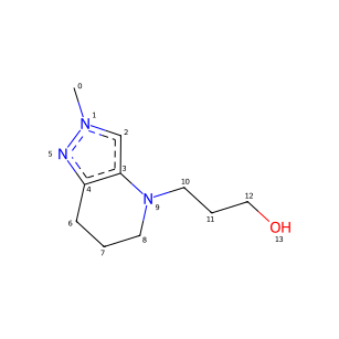 Cn1cc2c(n1)CCCN2CCCO